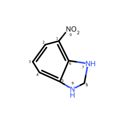 O=[N+]([O-])c1cccc2c1N[CH]N2